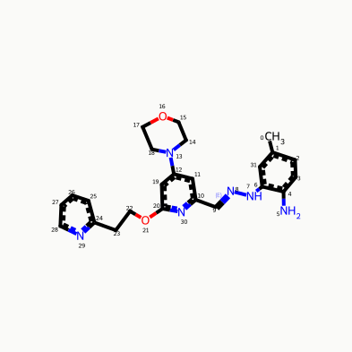 Cc1ccc(N)c(N/N=C/c2cc(N3CCOCC3)cc(OCCc3ccccn3)n2)c1